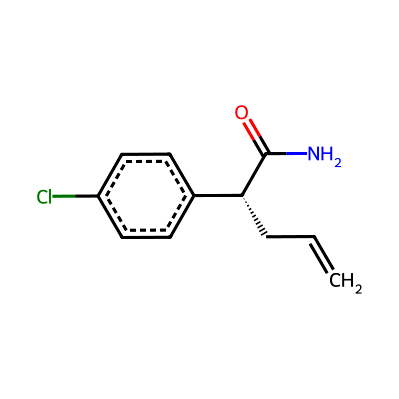 C=CC[C@@H](C(N)=O)c1ccc(Cl)cc1